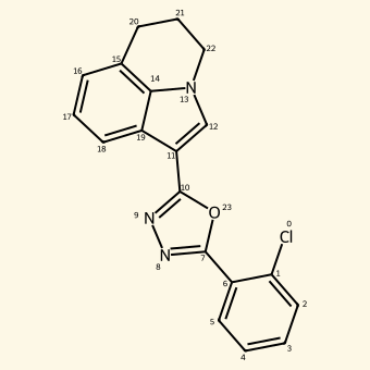 Clc1ccccc1-c1nnc(-c2cn3c4c(cccc24)CCC3)o1